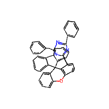 c1ccc(-c2nc(-c3ccccc3)nc(-c3cccc4c3C3(c5ccccc5O4)c4ccccc4-c4ccccc43)n2)cc1